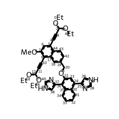 CCOC(C#Cc1cc(OC)c(C#CC(OCC)OCC)c2cc(COc3cc(-c4c[nH]cn4)c4ccccc4c3-c3c[nH]cn3)ccc12)OCC